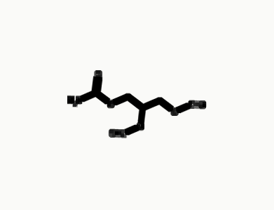 BC(=O)OCC(COC=O)OC=O